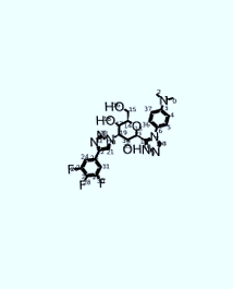 CN(C)c1ccc(-n2cnnc2[C@@H]2O[C@H](CO)[C@H](O)[C@H](n3cc(-c4cc(F)c(F)c(F)c4)nn3)[C@H]2O)cc1